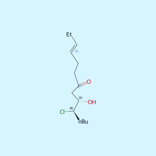 CC/C=C/CCC(=O)C[C@H](O)[C@H](Cl)CCCC